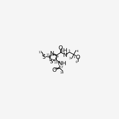 COC(C)(C)CNC(=O)c1nc(SC)sc1NC(C)=O